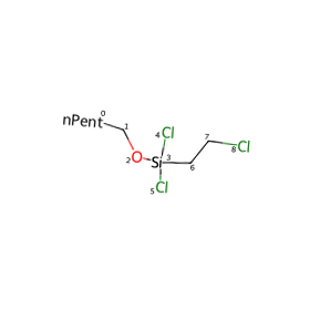 CCCCCCO[Si](Cl)(Cl)CCCl